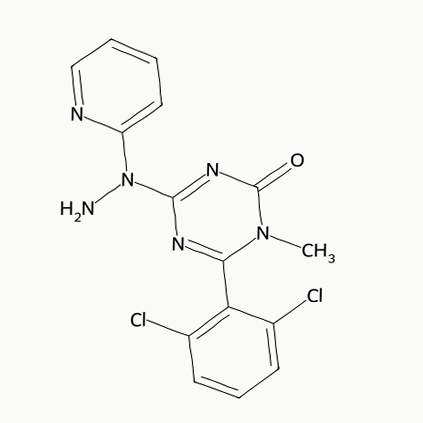 Cn1c(-c2c(Cl)cccc2Cl)nc(N(N)c2ccccn2)nc1=O